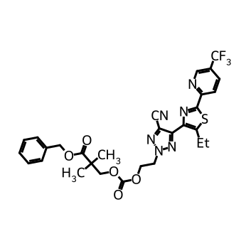 CCc1sc(-c2ccc(C(F)(F)F)cn2)nc1-c1nn(CCOC(=O)OCC(C)(C)C(=O)OCc2ccccc2)nc1C#N